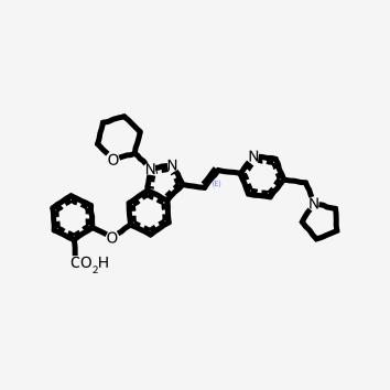 O=C(O)c1ccccc1Oc1ccc2c(/C=C/c3ccc(CN4CCCC4)cn3)nn(C3CCCCO3)c2c1